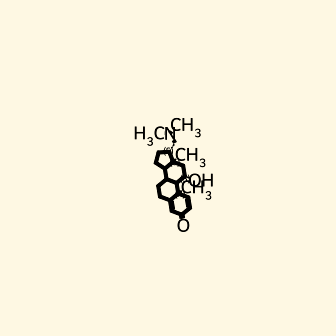 CN(C)C[C@H]1CCC2C3CCC4=CC(=O)C=C[C@]4(C)C3[C@@H](O)C[C@@]21C